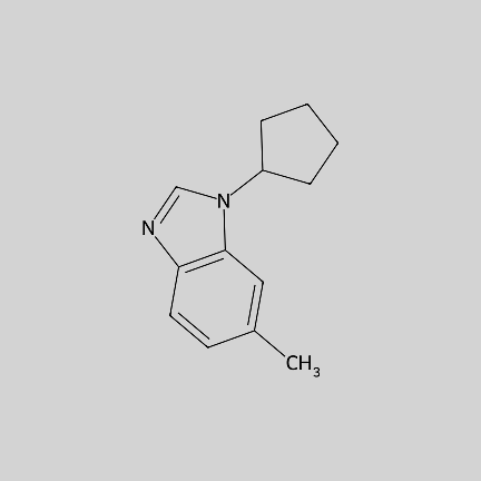 Cc1ccc2ncn(C3CCCC3)c2c1